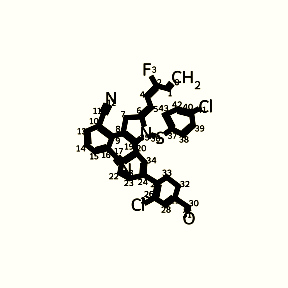 C=C/C(F)=C\C=C1/CC(c2c(C#N)cccc2C#N)=C(c2cccc(C3=C(Cl)C=C(C=O)CC3)c2)N1Sc1ccc(Cl)cc1